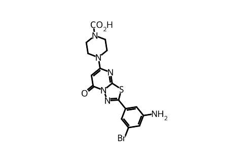 Nc1cc(Br)cc(-c2nn3c(=O)cc(N4CCN(C(=O)O)CC4)nc3s2)c1